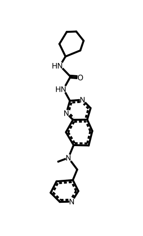 CN(Cc1cccnc1)c1ccc2cnc(NC(=O)NC3CCCCC3)nc2c1